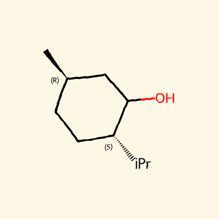 CC(C)[C@@H]1CC[C@@H](C)CC1O